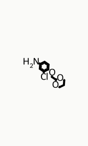 Nc1ccc(OCC2OCCCO2)c(Cl)c1